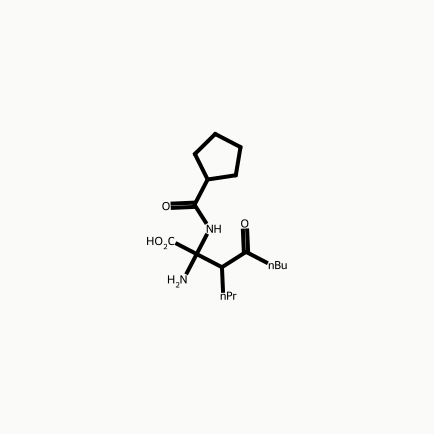 CCCCC(=O)C(CCC)C(N)(NC(=O)C1CCCC1)C(=O)O